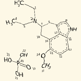 CCN(CC)C1Cc2c[nH]c3ccc(OC)c(c23)C1.O=P(O)(O)O